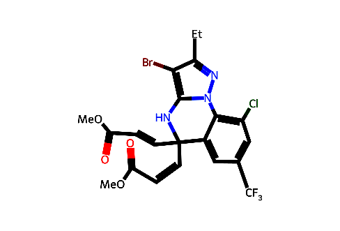 CCc1nn2c(c1Br)NC(/C=C\C(=O)OC)(/C=C/C(=O)OC)c1cc(C(F)(F)F)cc(Cl)c1-2